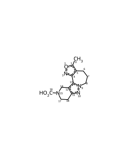 Cc1onc2c1CCCn1nc3c(c1-2)CN(C(=O)O)CC3